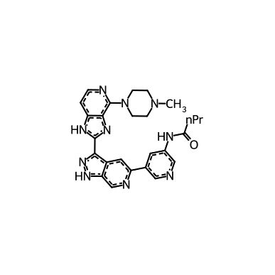 CCCC(=O)Nc1cncc(-c2cc3c(-c4nc5c(N6CCN(C)CC6)nccc5[nH]4)n[nH]c3cn2)c1